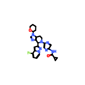 O=C(Nc1cnc(N2CCc3c(ncn3C3CCCCO3)C2c2cc3c(F)cccn3n2)cn1)C1CC1